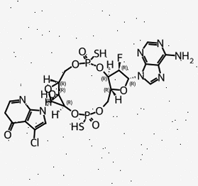 Nc1ncnc2c1ncn2[C@@H]1O[C@@H]2COP(=O)(S)O[C@@H]3[C@H](O)[C@@H](COP(=O)(S)O[C@H]2[C@H]1F)O[C@H]3n1cc(Cl)c2c1N=CCC2=O